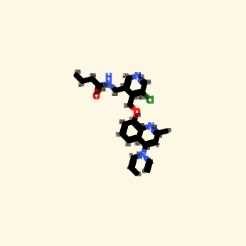 C=CN(/C=C\C)c1cc(C)nc2c(OCc3c(Cl)cncc3CNC(=O)CCC)cccc12